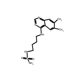 Cc1cc2ncnc(NCCCCNS(N)(=O)=O)c2cc1C